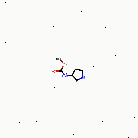 CC(C)(C)OC(=O)NC1[CH]NCC1